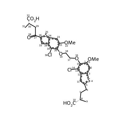 COc1cc2sc(CC[C@H](C)C(=O)O)cc2c(Cl)c1OCCOc1c(OC)cc2sc(C(=O)C[C@H](C)C(=O)O)cc2c1Cl